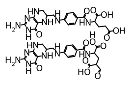 Nc1nc2c(c(=O)[nH]1)NC(CNc1ccc(C(=O)NC(CC(C=O)C(=O)O)C(=O)O)cc1)CN2.Nc1nc2c(c(=O)[nH]1)NC(CNc1ccc(C(=O)NC(CCC(=O)O)C(=O)O)cc1)CN2